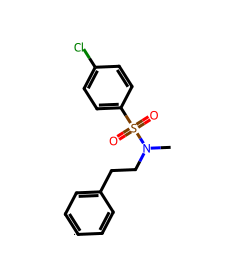 CN(CCc1cc[c]cc1)S(=O)(=O)c1ccc(Cl)cc1